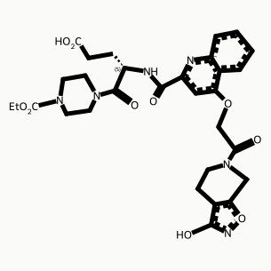 CCOC(=O)N1CCN(C(=O)[C@H](CCC(=O)O)NC(=O)c2cc(OCC(=O)N3CCc4c(O)noc4C3)c3ccccc3n2)CC1